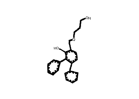 OCCCOCc1ccc(-c2ccccc2)c(-c2ccccc2)c1O